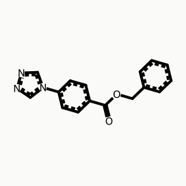 O=C(OCc1ccccc1)c1ccc(-n2cnnc2)cc1